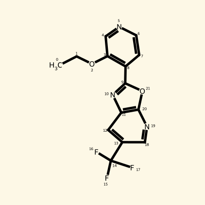 CCOc1cnccc1-c1nc2cc(C(F)(F)F)cnc2o1